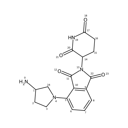 NC1CCN(c2cccc3c2C(=O)N(C2CCC(=O)NC2=O)C3=O)C1